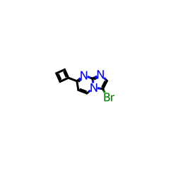 Brc1cnc2nc(C3=CC=C3)ccn12